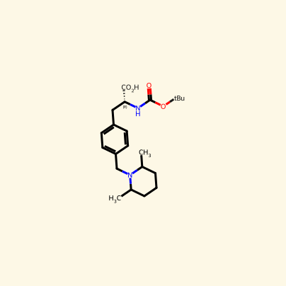 CC1CCCC(C)N1Cc1ccc(C[C@@H](NC(=O)OC(C)(C)C)C(=O)O)cc1